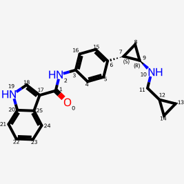 O=C(Nc1ccc([C@@H]2C[C@H]2NCC2CC2)cc1)c1c[nH]c2ccccc12